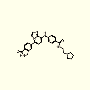 O=C(NCCN1CCCC1)c1ccc(Nc2ccc(-c3ccc4c(c3)CNC4=O)n3ccnc23)cc1